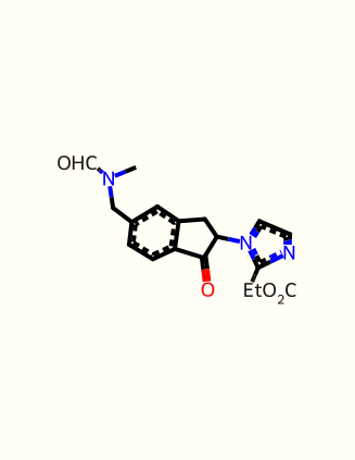 CCOC(=O)c1nccn1C1Cc2cc(CN(C)C=O)ccc2C1=O